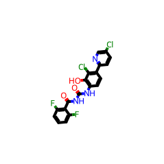 O=C(NC(=O)c1c(F)cccc1F)Nc1ccc(-c2ccc(Cl)cn2)c(Cl)c1O